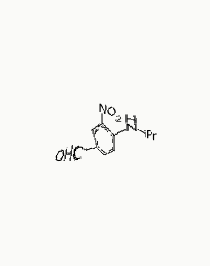 CC(C)Nc1ccc(C=O)cc1[N+](=O)[O-]